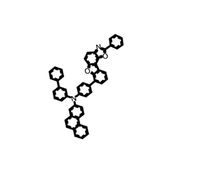 c1ccc(-c2cccc(N(c3ccc(-c4cccc5c4oc4ccc6nc(-c7ccccc7)oc6c45)cc3)c3ccc4c(ccc5ccccc54)c3)c2)cc1